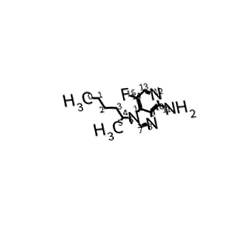 CCCCC(C)n1cnc2c(N)ncc(F)c21